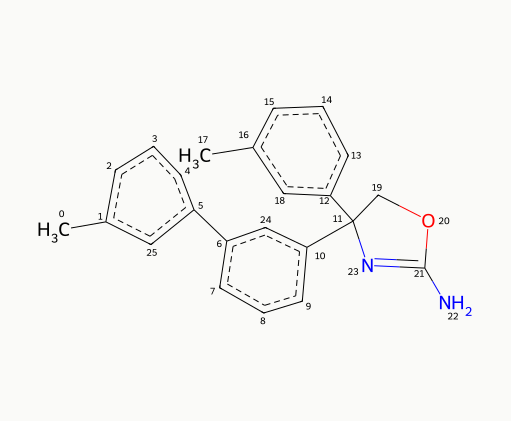 Cc1cccc(-c2cccc(C3(c4cccc(C)c4)COC(N)=N3)c2)c1